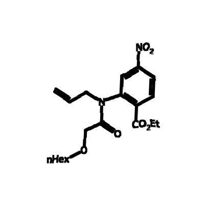 C=CCN(C(=O)COCCCCCC)c1cc([N+](=O)[O-])ccc1C(=O)OCC